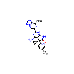 CCCCc1nc(-c2nc(N)c3c(n2)NC(=O)C3(c2ccc(C(F)(F)F)cn2)C2CC2)cn2ncnc12